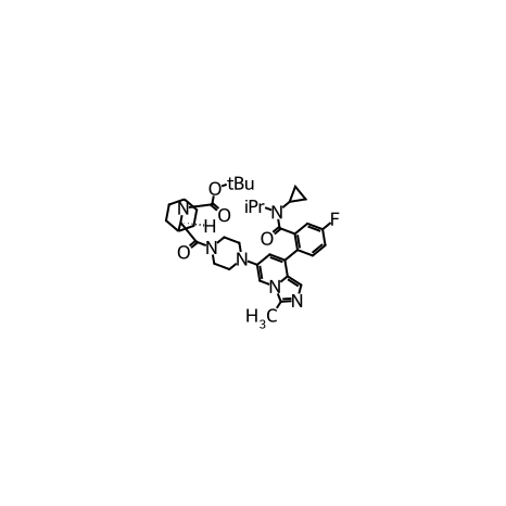 Cc1ncc2c(-c3ccc(F)cc3C(=O)N(C(C)C)C3CC3)cc(N3CCN(C(=O)[C@H]4C5CCC(CC5)N4C(=O)OC(C)(C)C)CC3)cn12